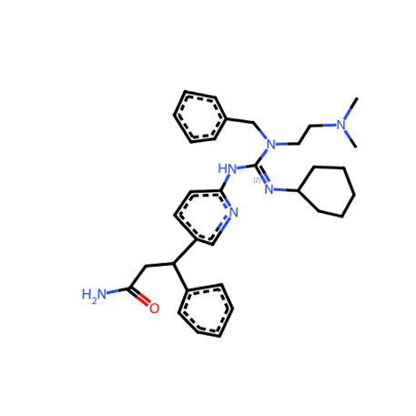 CN(C)CCN(Cc1ccccc1)/C(=N\C1CCCCC1)Nc1ccc(C(CC(N)=O)c2ccccc2)cn1